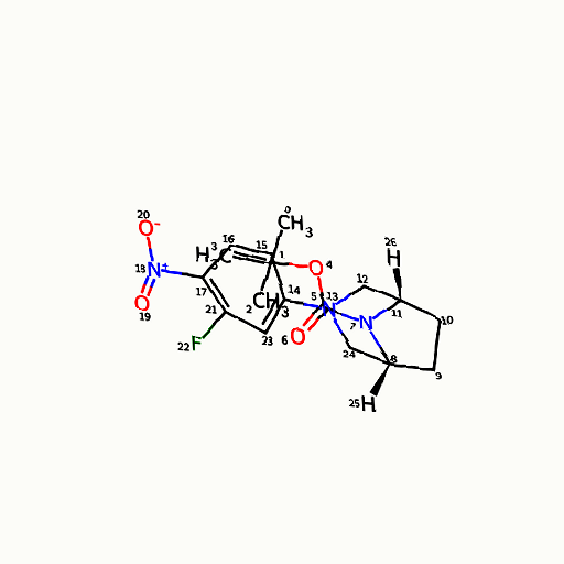 CC(C)(C)OC(=O)N1[C@@H]2CC[C@H]1CN(c1ccc([N+](=O)[O-])c(F)c1)C2